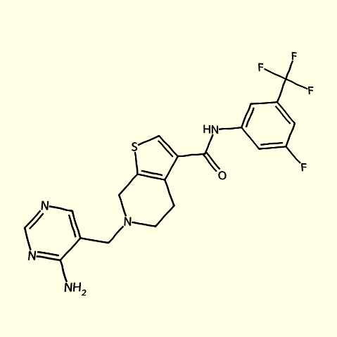 Nc1ncncc1CN1CCc2c(C(=O)Nc3cc(F)cc(C(F)(F)F)c3)csc2C1